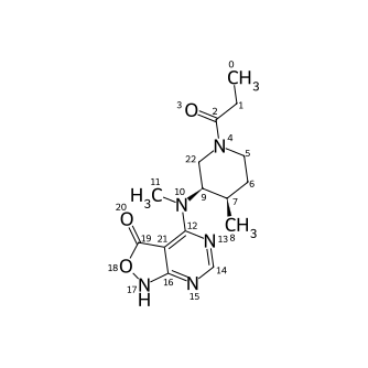 CCC(=O)N1CC[C@@H](C)[C@@H](N(C)c2ncnc3[nH]oc(=O)c23)C1